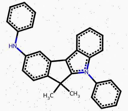 CC1(C)c2ccc(Nc3ccccc3)cc2-c2c1n(-c1ccccc1)c1ccccc21